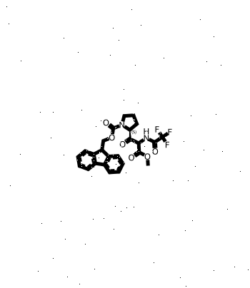 COC(=O)C(NC(=O)C(F)(F)F)C(=O)[C@@H]1CCCN1C(=O)OCC1c2ccccc2-c2ccccc21